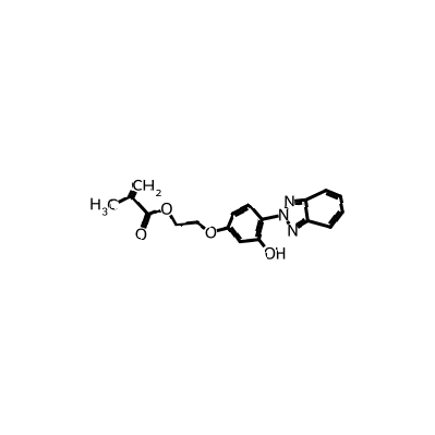 C=C(C)C(=O)OCCOc1ccc(-n2nc3ccccc3n2)c(O)c1